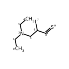 CCN(CC)CC(I)[C]=S